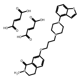 CN1CCc2ccc(OCCCN3CCN(c4cccc5sccc45)CC3)cc2C1=O.O=C(O)/C=C/C(=O)O.O=C(O)/C=C/C(=O)O